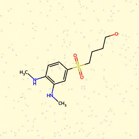 CNc1ccc(S(=O)(=O)CCCC[O])cc1NC